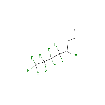 CCCC(F)C(F)(F)C(F)(F)C(F)(F)C(F)(F)F